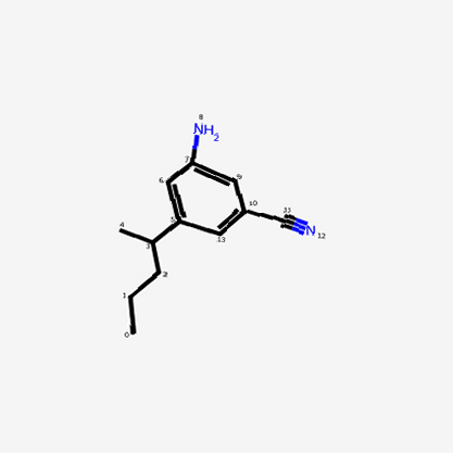 CCCC(C)c1cc(N)cc(C#N)c1